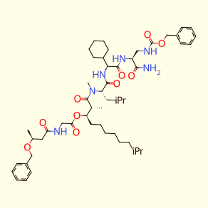 CC(C)CCCCCC[C@@H](OC(=O)CNC(=O)C[C@H](C)OCc1ccccc1)[C@@H](C)C(=O)N(C)[C@@H](CC(C)C)C(=O)N[C@H](C(=O)N[C@@H](CNC(=O)OCc1ccccc1)C(N)=O)C1CCCCC1